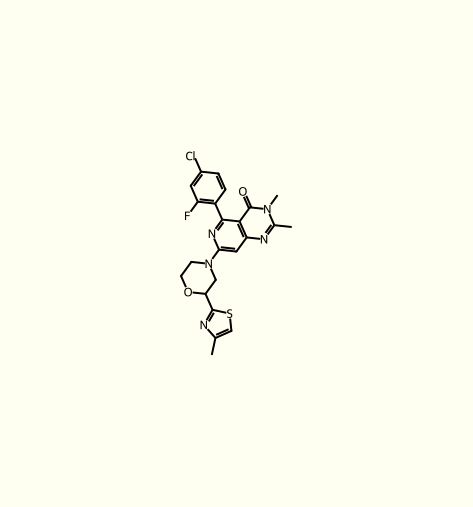 Cc1csc(C2CN(c3cc4nc(C)n(C)c(=O)c4c(-c4ccc(Cl)cc4F)n3)CCO2)n1